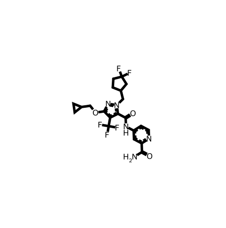 NC(=O)c1cc(NC(=O)c2c(C(F)(F)F)c(OCC3CC3)nn2CC2CCC(F)(F)C2)ccn1